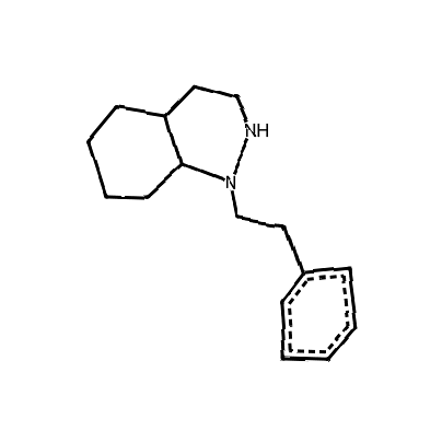 c1ccc(CCN2NCCC3CCCCC32)cc1